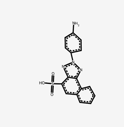 Nc1ccc(-n2nc3c(S(=O)(=O)O)cc4ccccc4c3n2)cc1